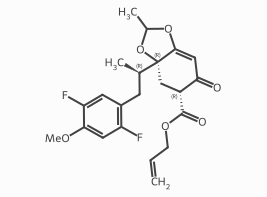 C=CCOC(=O)[C@@H]1C[C@]2([C@H](C)Cc3cc(F)c(OC)cc3F)OC(C)OC2=CC1=O